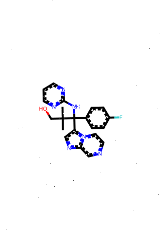 CC(C)(CO)C(Nc1ncccn1)(c1ccc(F)cc1)c1cnc2cnccn12